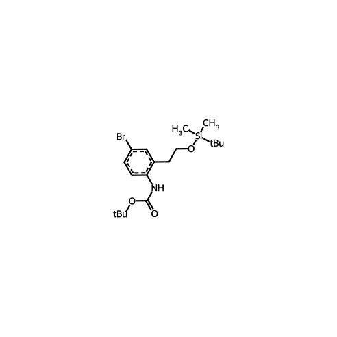 CC(C)(C)OC(=O)Nc1ccc(Br)cc1CCO[Si](C)(C)C(C)(C)C